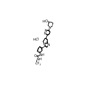 Cl.O=C(NCC(F)(F)F)Nc1cccc(-c2cnc3cc(-c4ccc(N5CCCC(O)C5)nn4)ccn23)c1